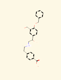 COC(=O)c1ccc(C[C@@H](C)NCC(O)c2ccc(OCc3ccccc3)c(CO)c2)cc1